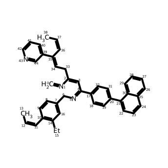 C=N/C(=C\C(=N/Cc1ccc(/C=C\C)c(CC)c1)c1ccc(-c2cccc3ccccc23)cc1)C/C=C(\C=C/C)c1cccnc1